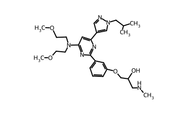 CNCC(O)COc1cccc(-c2nc(-c3cnn(CC(C)C)c3)cc(N(CCOC)CCOC)n2)c1